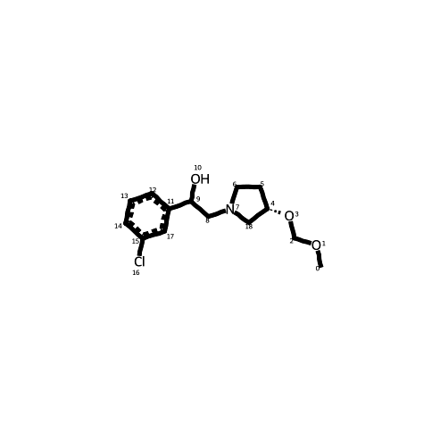 COCO[C@H]1CCN(CC(O)c2cccc(Cl)c2)C1